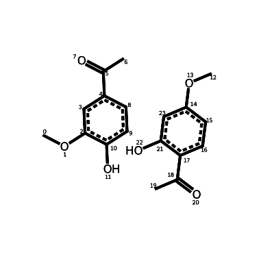 COc1cc(C(C)=O)ccc1O.COc1ccc(C(C)=O)c(O)c1